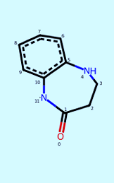 O=C1CCNc2ccccc2[N]1